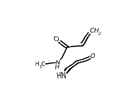 C=CC(=O)NC.N=C=O